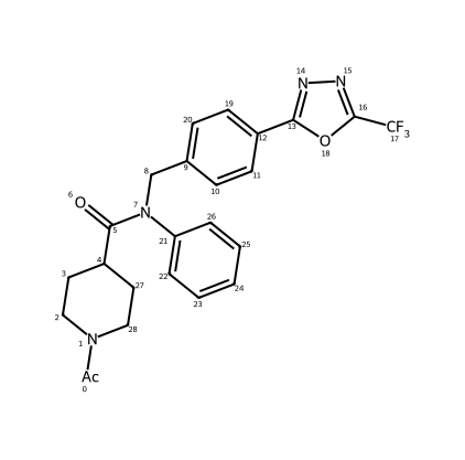 CC(=O)N1CCC(C(=O)N(Cc2ccc(-c3nnc(C(F)(F)F)o3)cc2)c2ccccc2)CC1